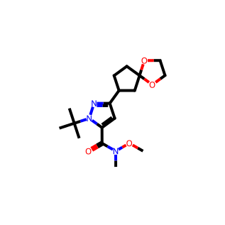 CON(C)C(=O)c1cc(C2CCC3(C2)OCCO3)nn1C(C)(C)C